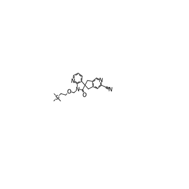 C[Si](C)(C)CCOCN1C(=O)C2(Cc3cnc(C#N)cc3C2)c2cccnc21